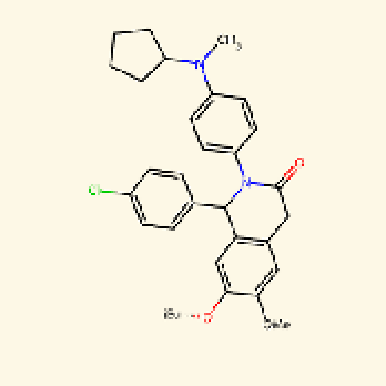 CC[C@@H](C)Oc1cc2c(cc1OC)CC(=O)N(c1ccc(N(C)C3CCCC3)cc1)C2c1ccc(Cl)cc1